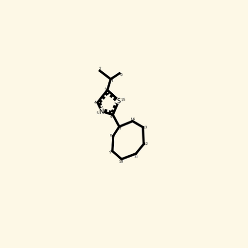 CC(C)c1cnc(C2CCCCCCC2)s1